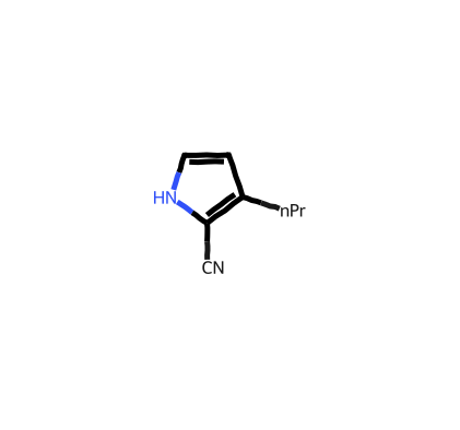 CCCc1cc[nH]c1C#N